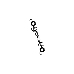 C(COCC1COC(C2CCC3OC3C2)O1)OCC1COC(C2CCC3OC3C2)O1